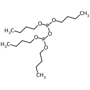 CCCCOP(OCCCC)OP(OCCCC)OCCCC